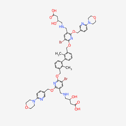 Cc1c(COc2nc(OCc3ccc(N4CCOCC4)nc3)c(CNCC(O)CC(=O)O)cc2Br)cccc1-c1cccc(COc2nc(OCc3ccc(N4CCOCC4)nc3)c(CNCC(O)CC(=O)O)cc2Br)c1C